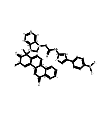 CCN(CC)c1ccc(-c2csc(NC(=O)CN3CN(C4(C)C(=O)C(C)C=c5c4ccc4c5=CC(=O)c5ccccc5-4)c4ncncc43)n2)cc1